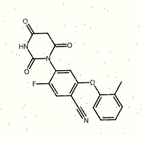 Cc1ccccc1Oc1cc(N2C(=O)CC(=O)NC2=O)c(F)cc1C#N